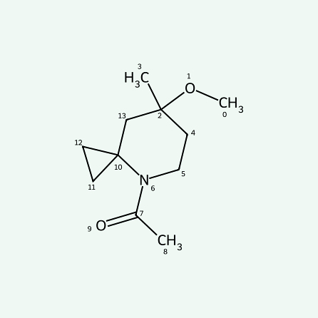 COC1(C)CCN(C(C)=O)C2(CC2)C1